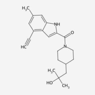 C#Cc1cc(C)cc2[nH]c(C(=O)N3CCC(CC(C)(C)O)CC3)cc12